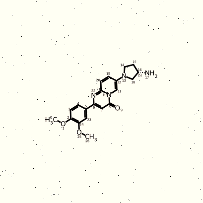 COc1ccc(-c2cc(=O)n3cc(N4CC[C@H](N)C4)ccc3n2)cc1OC